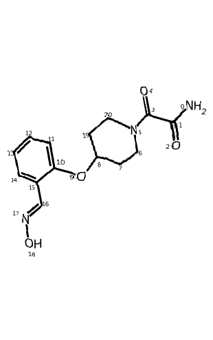 NC(=O)C(=O)N1CCC(Oc2ccccc2C=NO)CC1